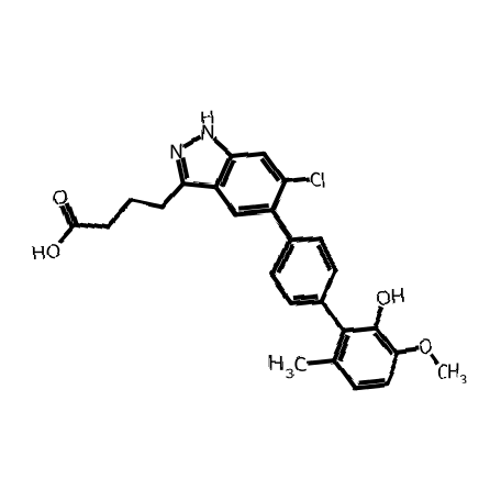 COc1ccc(C)c(-c2ccc(-c3cc4c(CCCC(=O)O)n[nH]c4cc3Cl)cc2)c1O